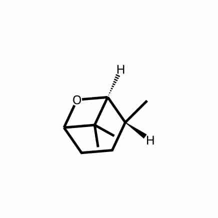 C[C@@H]1CCC2O[C@@H]1C2(C)C